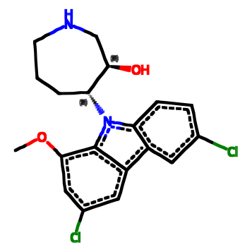 COc1cc(Cl)cc2c3cc(Cl)ccc3n([C@@H]3CCCNC[C@H]3O)c12